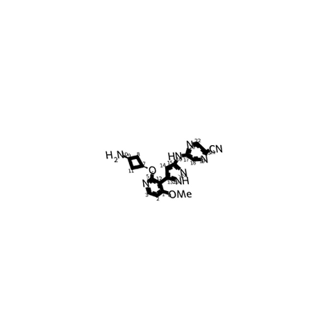 COc1ccnc(O[C@H]2C[C@H](N)C2)c1-c1cc(Nc2cnc(C#N)cn2)n[nH]1